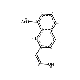 CC(=O)Oc1cccc2ccc(/C=C\O)nc12